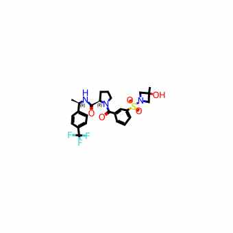 C[C@@H](NC(=O)[C@H]1CCCN1C(=O)c1cccc(S(=O)(=O)N2CC(C)(O)C2)c1)c1ccc(C(F)(F)F)cc1